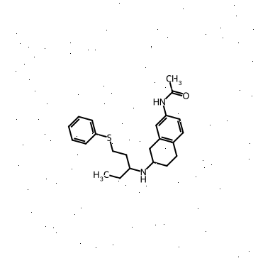 CCC(CCSc1ccccc1)NC1CCc2ccc(NC(C)=O)cc2C1